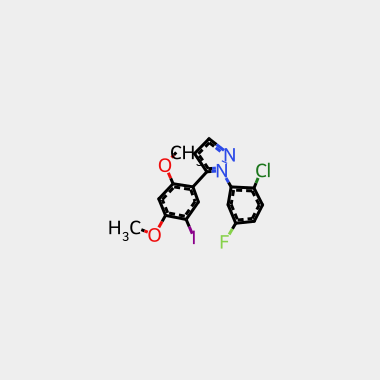 COc1cc(OC)c(-c2ccnn2-c2cc(F)ccc2Cl)cc1I